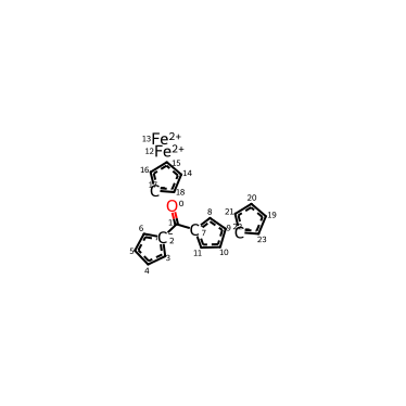 O=C([c-]1cccc1)[c-]1cccc1.[Fe+2].[Fe+2].c1cc[cH-]c1.c1cc[cH-]c1